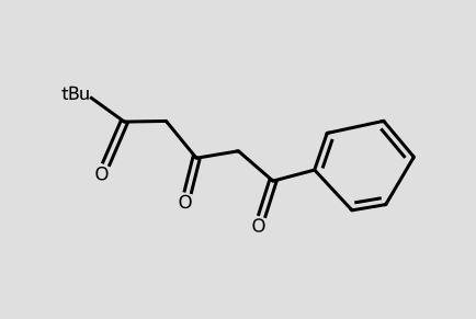 CC(C)(C)C(=O)CC(=O)CC(=O)c1ccccc1